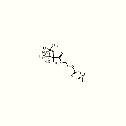 CC(C)(C)CC(C)(C(=O)OCCOC(=O)CS(=O)(=O)O)C(C)(C)C